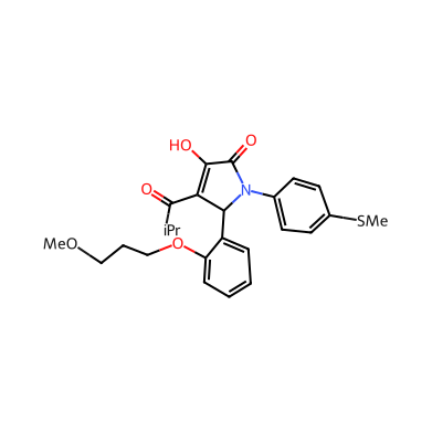 COCCCOc1ccccc1C1C(C(=O)C(C)C)=C(O)C(=O)N1c1ccc(SC)cc1